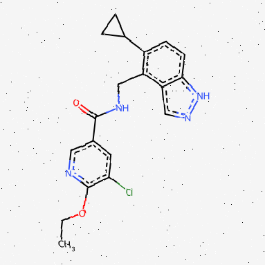 CCOc1ncc(C(=O)NCc2c(C3CC3)ccc3[nH]ncc23)cc1Cl